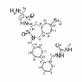 CNC(=O)NCc1ccccc1-c1ccc(CN2Cc3ccc(SC)cc3C[C@@H](NC(=O)C(C)(C)N)C2=O)cc1